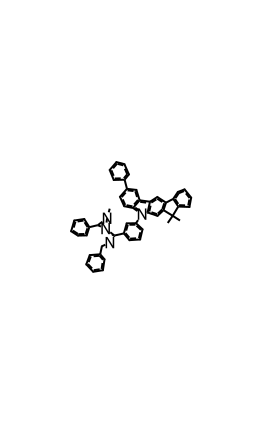 CN1C(c2ccccc2)N1/C(=N\Cc1ccccc1)c1cccc(-n2c3ccc(-c4ccccc4)cc3c3cc4c(cc32)C(C)(C)c2ccccc2-4)c1